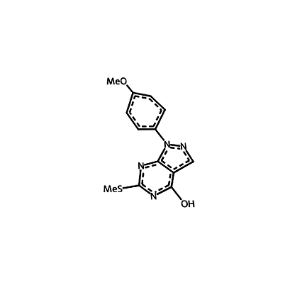 COc1ccc(-n2ncc3c(O)nc(SC)nc32)cc1